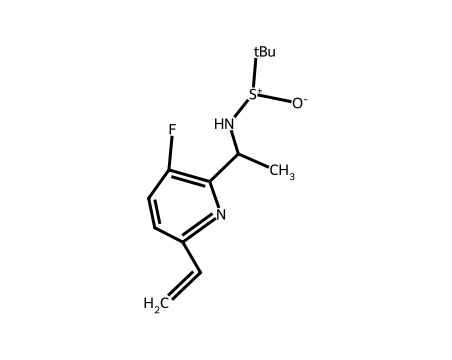 C=Cc1ccc(F)c(C(C)N[S+]([O-])C(C)(C)C)n1